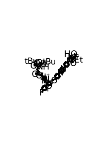 CC[C@@H]([C@H](C)O)n1ncn(-c2ccc(N3CCN(c4ccc(OC[C@@H]5CO[C@@](Cn6c[n+](C(C)OC(=O)SC[C@H](NC(=O)OC(C)(C)C)C(=O)OC(C)(C)C)cn6)(c6ccc(F)cc6F)C5)cc4)CC3)cc2)c1=O